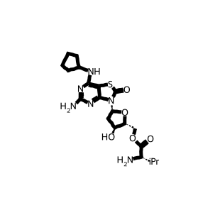 CC(C)[C@H](N)C(=O)OC[C@H]1O[C@@H](n2c(=O)sc3c(NC4CCCC4)nc(N)nc32)C[C@@H]1O